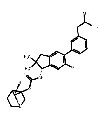 CC(C)Cc1cccc(-c2cc3c(cc2F)[C@H](NC(=O)O[C@@H]2CN4CCC2CC4)C(C)(C)C3)c1